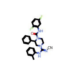 Cc1ccccc1N/C(=N/C#N)N1CCN(C(=O)Nc2cc(F)ccc2F)C(c2ccccc2)C1